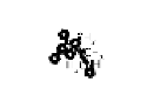 CC/C(=C\C=C(/C)Nc1ccccc1)n1c2c(c3ccccc31)C(N(c1ccccc1)c1ccc(-c3ccccc3)cc1)=CC(C)C2